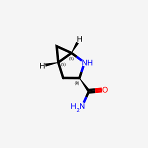 NC(=O)[C@H]1C[C@@H]2C[C@@H]2N1